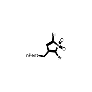 CCCCCCC1=C(Br)S(=O)(=O)C(Br)=C1